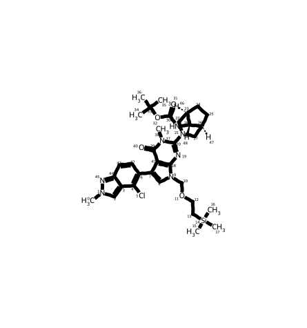 Cn1cc2c(Cl)c(-c3cn(COCC[Si](C)(C)C)c4nc(N5C[C@H]6CC[C@@H](C5)[C@@H]6NC(=O)OC(C)(C)C)n(C)c(=O)c34)ccc2n1